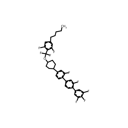 CCCCCc1cc(F)c(C(F)(F)OC2CCC(c3ccc(-c4ccc(-c5cc(F)c(F)c(F)c5)c(F)c4)c(F)c3)CC2)c(F)c1